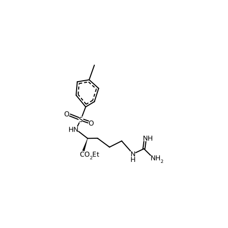 CCOC(=O)[C@H](CCCNC(=N)N)NS(=O)(=O)c1ccc(C)cc1